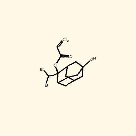 C=CC(=O)OC1(C(CC)CC)C2CC3CC1CC(O)(C3)C2